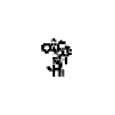 C=C[C@H]1CN2CC[C@H]1C[C@@H]2[C@@H](OC(=O)c1ccccc1)c1ccnc2ccc(OC)cc12